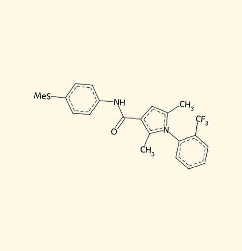 CSc1ccc(NC(=O)c2cc(C)n(-c3ccccc3C(F)(F)F)c2C)cc1